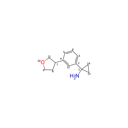 NC1(c2cccc(C3CCOC3)c2)CC1